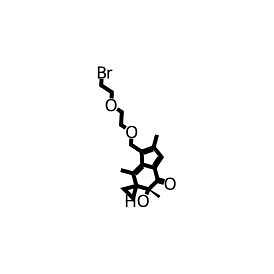 CC1=C(COCCOCCBr)C2=C(C)C3(CC3)[C@@](C)(O)C(=O)C2=C1